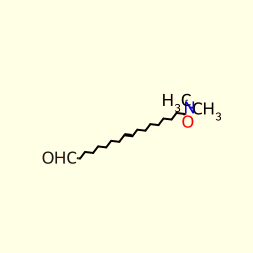 CN(C)C(=O)CCCCCCC/C=C/CCCCCCCC=O